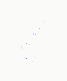 CC(C)CCNCc1c[nH]c2nccc(Cl)c12